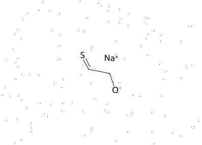 [Na+].[O-]CC=S